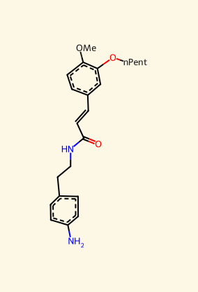 CCCCCOc1cc(/C=C/C(=O)NCCc2ccc(N)cc2)ccc1OC